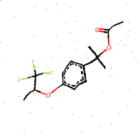 CC(=O)OC(C)(C)c1ccc(OC(C)C(F)(F)F)cc1